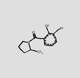 CC(C)c1cccc(C(=O)N2CCCC2C)c1O